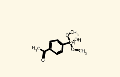 CO[PH](O)(OC)c1ccc(C(C)=O)cc1